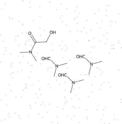 CN(C)C(=O)CO.CN(C)C=O.CN(C)C=O.CN(C)C=O